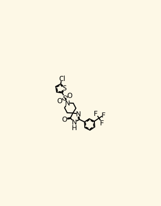 O=C1NC(c2cccc(C(F)(F)F)c2)=NC12CCN(S(=O)(=O)c1ccc(Cl)s1)CC2